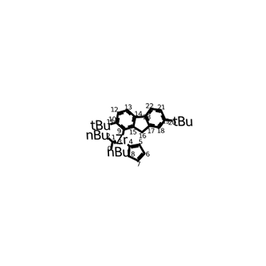 CCCC[C](CCCC)=[Zr]([C]1=CC=CC1)[c]1c(C(C)(C)C)ccc2c1Cc1cc(C(C)(C)C)ccc1-2